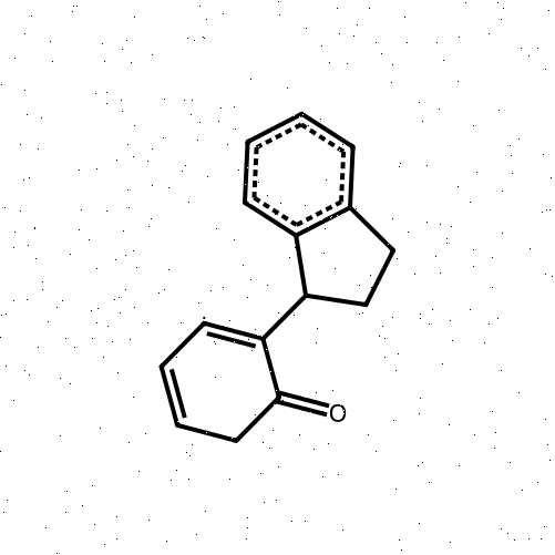 O=C1CC=C[C]=C1C1CCc2ccccc21